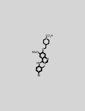 COc1cc2c(Nc3ccc(Br)cc3F)ncnc2cc1OCC1CCN(C(=O)O)CC1